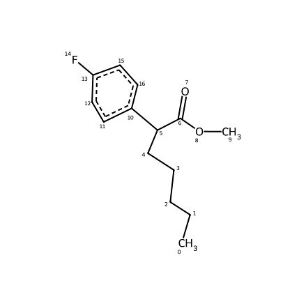 CCCCCC(C(=O)OC)c1ccc(F)cc1